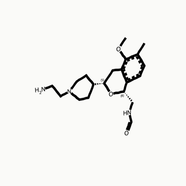 COc1c(C)ccc2c1C[C@@H](C1CCN(CCN)CC1)O[C@H]2CNC=O